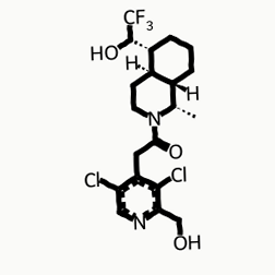 C[C@H]1[C@H]2CCC[C@@H](C(O)C(F)(F)F)[C@@H]2CCN1C(=O)Cc1c(Cl)cnc(CO)c1Cl